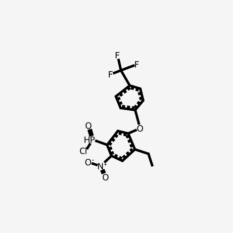 CCc1cc([N+](=O)[O-])c([PH](=O)Cl)cc1Oc1ccc(C(F)(F)F)cc1